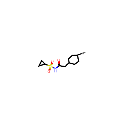 CC(C)C1CCC(CC(=O)NS(=O)(=O)C2CC2)CC1